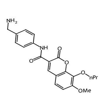 CCCOc1c(OC)ccc2cc(C(=O)Nc3ccc(CN)cc3)c(=O)oc12